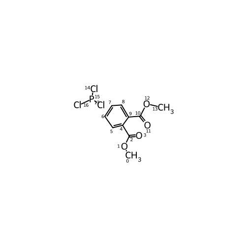 COC(=O)c1ccccc1C(=O)OC.ClP(Cl)Cl